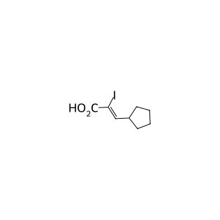 O=C(O)C(I)=CC1CCCC1